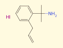 C=CCc1ccccc1C(C)(C)N.I